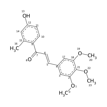 COc1cc(C=CC(=O)c2ccc(O)cc2C)cc(OC)c1OC